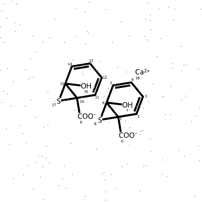 O=C([O-])C12C=CC=CC1(O)S2.O=C([O-])C12C=CC=CC1(O)S2.[Ca+2]